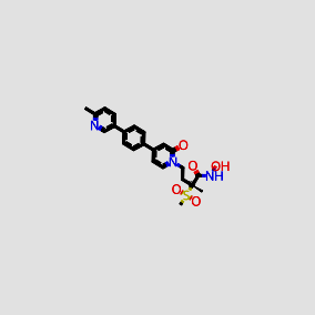 Cc1ccc(-c2ccc(-c3ccn(CC[C@](C)(C(=O)NO)S(C)(=O)=O)c(=O)c3)cc2)cn1